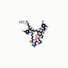 CNC(=O)C1CCCN1C(=O)C1CCCN1C(=O)C1CCCN1C(=O)CCCCC[N+]1=C(/C=C/C=C/C=C/C=C2\N(C)c3cc(I)cc(I)c3C2(C)C)C(C)(CCCCS(=O)(=O)O)c2cc(C)ccc21